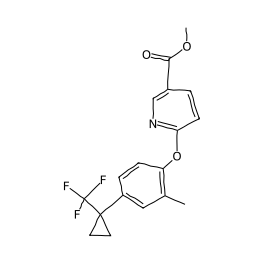 COC(=O)c1ccc(Oc2ccc(C3(C(F)(F)F)CC3)cc2C)nc1